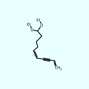 C=CC#C/C=C\CCCC(OCC)OCC